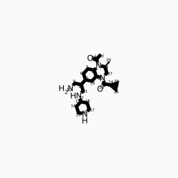 CC(=O)N1C2CCC(C(CN)CNC3CCNCC3)CC2N(C(=O)C2CC2)C[C@@H]1C